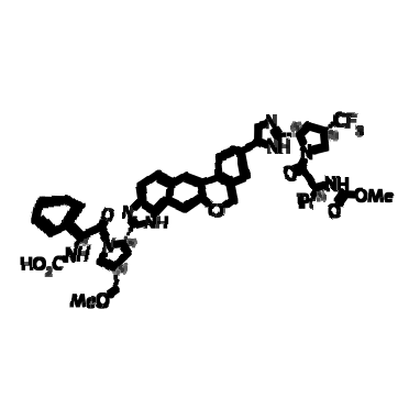 COC[C@H]1C[C@@H](c2nc3ccc4cc5c(cc4c3[nH]2)OCc2cc(-c3cnc([C@@H]4C[C@H](C(F)(F)F)CN4C(=O)[C@@H](NC(=O)OC)C(C)C)[nH]3)ccc2-5)N(C(=O)[C@H](NC(=O)O)c2ccccc2)C1